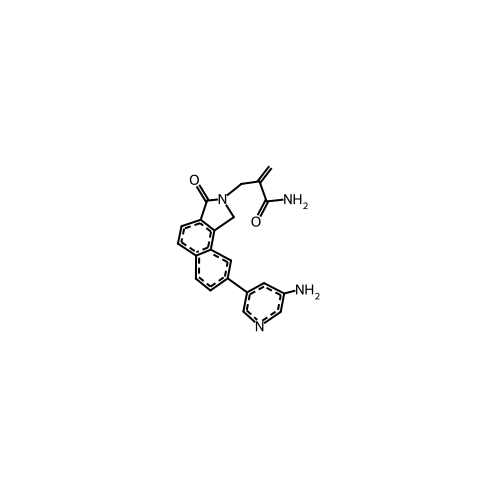 C=C(CN1Cc2c(ccc3ccc(-c4cncc(N)c4)cc23)C1=O)C(N)=O